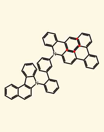 c1ccc(-c2ccccc2N(c2cccc(-c3ccccc3-n3c4ccccc4c4c5ccccc5ccc43)c2)c2ccc3c4ccccc4c4ccccc4c3c2)cc1